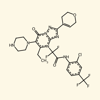 CCc1c(N2CCNCC2)c(=O)n2nc(C3=CCOCC3)nc2n1C(F)(F)C(=O)Nc1ccc(C(F)(F)F)cc1Cl